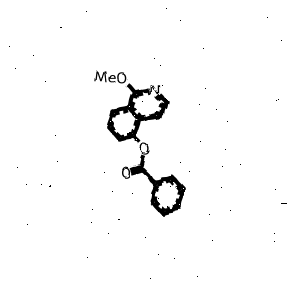 COc1nccc2c(OC(=O)c3ccccc3)cccc12